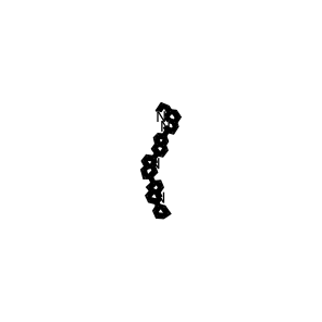 c1ccc(-c2ccc3cc(-c4ccc5ccc(-c6ccc7cc(-c8ccc9ccc%10cccnc%10c9n8)ccc7c6)nc5c4)ccc3n2)cc1